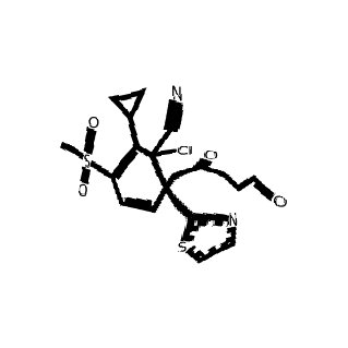 CS(=O)(=O)C1=C(C2CC2)C(Cl)(C#N)C(C(=O)CC=O)(c2nccs2)C=C1